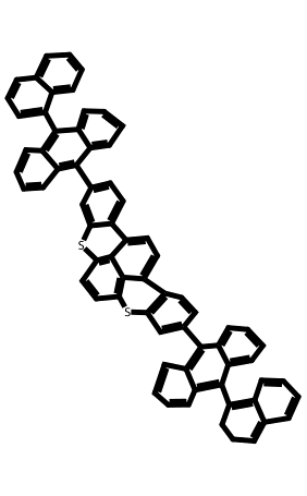 C1=c2ccccc2=C(c2c3ccccc3c(-c3ccc4c(c3)Sc3ccc5c6c(ccc-4c36)-c3ccc(-c4c6ccccc6c(-c6cccc7ccccc67)c6ccccc46)cc3S5)c3ccccc23)CC1